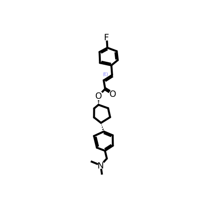 CN(C)Cc1ccc([C@H]2CC[C@@H](OC(=O)/C=C/c3ccc(F)cc3)CC2)cc1